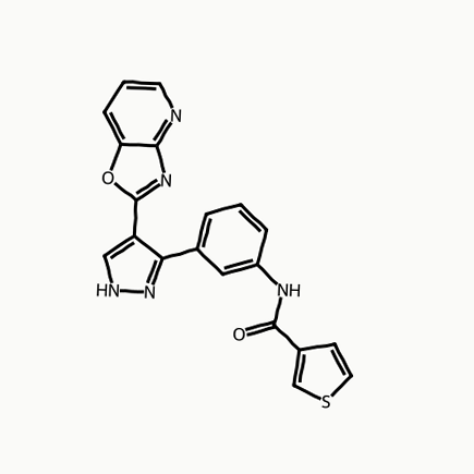 O=C(Nc1cccc(-c2n[nH]cc2-c2nc3ncccc3o2)c1)c1ccsc1